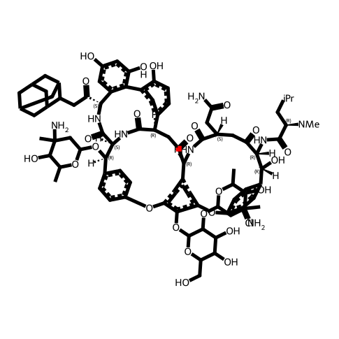 CN[C@H](CC(C)C)C(=O)N[C@H]1C(=O)C[C@@H](CC(N)=O)C(=O)N[C@H]2C(=O)C[C@H]3C(=O)N[C@H](C(=O)N[C@H](C(=O)CC4C5CC6CC(C5)CC4C6)c4cc(O)cc(O)c4-c4cc3ccc4O)[C@H](OC3CC(C)(N)C(O)C(C)O3)c3ccc(cc3)Oc3cc2cc(c3OC2OC(CO)C(O)C(O)C2OC2CC(C)(N)C(O)C(C)O2)Oc2ccc(cc2Cl)[C@H]1O